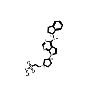 CCOS(=O)(=O)CC[C@H]1CC[C@H](n2ccc3c(N[C@H]4CCc5ccccc54)ncnc32)C1